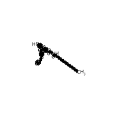 CCC=CCC=CCC=CCC=CCC=CCC=CCCC(=O)NCCC(=O)Oc1ccc2c(C(=O)c3ccc(OCCN4CCOCC4)cc3)c(-c3ccc(O)cc3)sc2c1